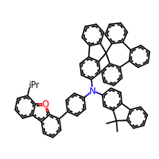 CC(C)c1cccc2c1oc1c(-c3ccc(N(c4ccc5c(c4)C(C)(C)c4ccccc4-5)c4ccc5c(c4)C4(c6ccccc6-c6ccccc6-c6ccccc64)c4ccccc4-5)cc3)cccc12